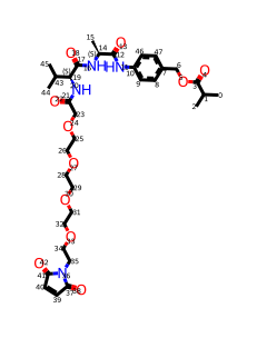 CC(C)C(=O)OCc1ccc(NC(=O)[C@H](C)NC(=O)[C@@H](NC(=O)COCCOCCOCCOCCN2C(=O)C=CC2=O)C(C)C)cc1